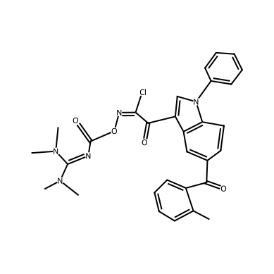 Cc1ccccc1C(=O)c1ccc2c(c1)c(C(=O)/C(Cl)=N\OC(=O)N=C(N(C)C)N(C)C)cn2-c1ccccc1